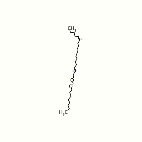 CCCC/C=C\CCCCCCCC/C=C/CCOCOCCCCCCCC